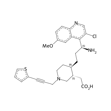 COc1ccc2ncc(Cl)c([C@@H](N)CC[C@@H]3CCN(CC#Cc4cccs4)C[C@H]3CC(=O)O)c2c1